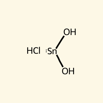 Cl.[OH][Sn][OH]